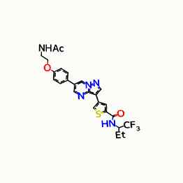 CCC(NC(=O)c1cc(-c2cnn3cc(-c4ccc(OCCNC(C)=O)cc4)cnc23)cs1)C(F)(F)F